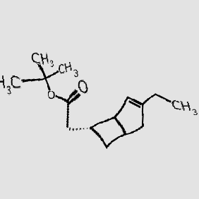 CCC1=CC2C(C1)C[C@@H]2CC(=O)OC(C)(C)C